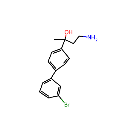 CC(O)(CCN)c1ccc(-c2cccc(Br)c2)cc1